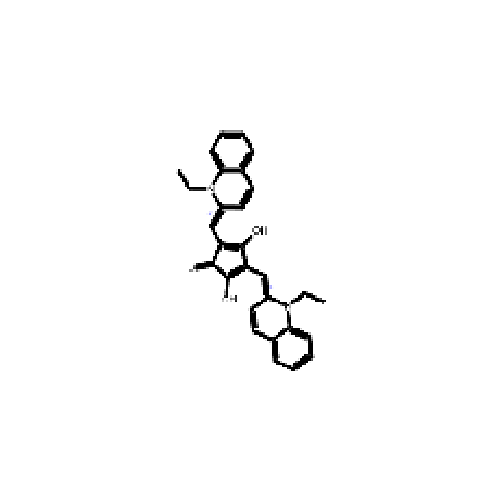 CCN1/C(=C/C2=C(O)C(/C=C3\C=Cc4ccccc4N3CC)=C(O)C2=O)C=Cc2ccccc21